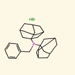 Br.c1ccc(CP(C23CC4CC(CC(C4)C2)C3)C23CC4CC(CC(C4)C2)C3)cc1